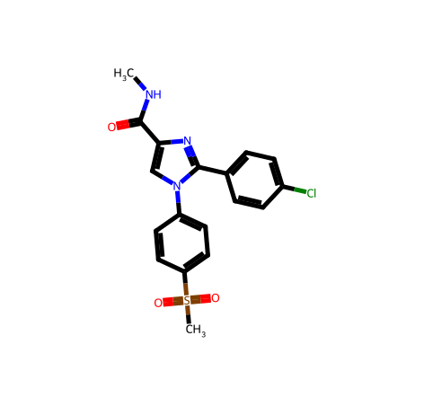 CNC(=O)c1cn(-c2ccc(S(C)(=O)=O)cc2)c(-c2ccc(Cl)cc2)n1